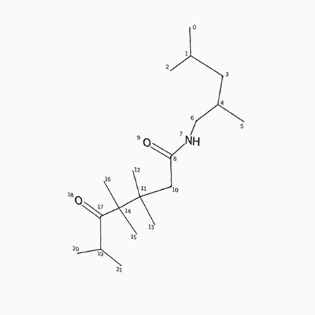 CC(C)CC(C)CNC(=O)CC(C)(C)C(C)(C)C(=O)C(C)C